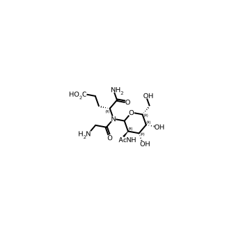 CC(=O)N[C@H]1C(N(C(=O)CN)[C@H](CCC(=O)O)C(N)=O)O[C@H](CO)[C@H](O)[C@@H]1O